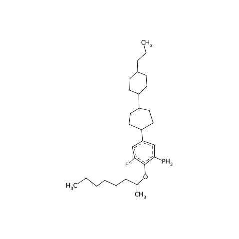 CCCCCCC(C)Oc1c(F)cc(C2CCC(C3CCC(CCC)CC3)CC2)cc1P